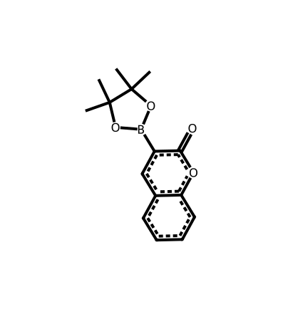 CC1(C)OB(c2cc3ccccc3oc2=O)OC1(C)C